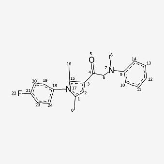 Cc1cc(C(=O)CN(C)c2ccccc2)c(C)n1-c1ccc(F)cc1